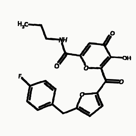 CCCNC(=O)c1cc(=O)c(O)c(C(=O)c2ccc(Cc3ccc(F)cc3)o2)o1